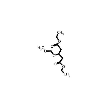 CCOC(=O)CC(CC(=O)OCC)OCOC